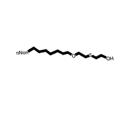 CCCCCCCCCCCCCCCCOCCSCCO